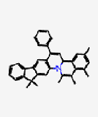 CC1=C(C)N2c3cc4c(cc3C(c3ccccc3)=CC2c2cc(C)cc(C)c21)-c1ccccc1C4(C)C